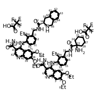 CCOc1cc2ncc(C(N)=O)c(Nc3cccc(CNC(=O)C4(N)CCCCC4)c3CC)c2cc1OCC.CCOc1cc2ncc(C(N)=O)c(Nc3cccc(CNC(=O)[C@H]4Cc5ccccc5CN4)c3CC)c2cc1OCC.O=C(O)C(F)(F)F.O=C(O)C(F)(F)F